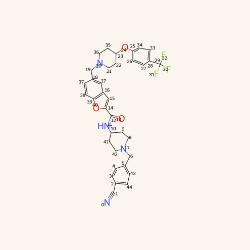 N#Cc1ccc(CN2CCC(NC(=O)c3cc4cc(CN5CCC(Oc6ccc(C(F)(F)F)cc6)CC5)ccc4o3)CC2)cc1